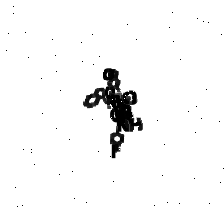 CN(C(=O)NCc1ccc(F)cc1)N1CC(=O)N2[C@@H](Cc3ccc4occc4c3)C(=O)N(Cc3cccc4ccccc34)C[C@@H]21